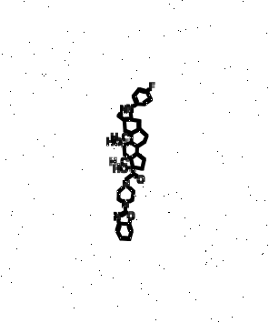 CC12Cc3cnn(-c4ccc(F)cc4)c3C=C1CCC1C2[C@@H](O)C[C@@]2(C)C1CC[C@]2(O)C(=O)CN1CCN(c2nc3ccccc3o2)CC1